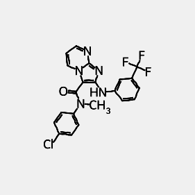 CN(C(=O)c1c(Nc2cccc(C(F)(F)F)c2)nc2ncccn12)c1ccc(Cl)cc1